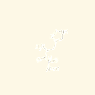 CCCCC[PH](=O)C(=O)[C@@H](N)Cc1c[nH]cn1